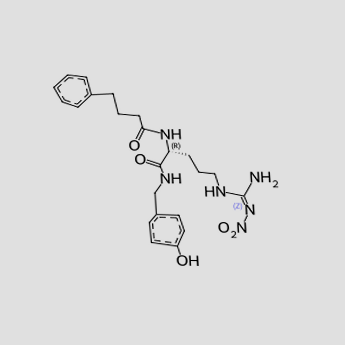 N/C(=N/[N+](=O)[O-])NCCC[C@@H](NC(=O)CCCc1ccccc1)C(=O)NCc1ccc(O)cc1